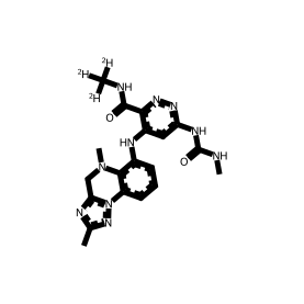 [2H]C([2H])([2H])NC(=O)c1nnc(NC(=O)NC)cc1Nc1cccc2c1N(C)Cc1nc(C)nn1-2